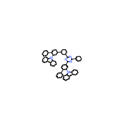 c1ccc(-c2nc(-c3cccc(-c4ccc(-c5ccccc5)c(-n5c6ccccc6c6ccccc65)c4)c3)nc(-c3ccc(-c4ccccc4)c(-n4c5ccccc5c5ccccc54)c3)n2)cc1